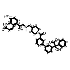 O=C(c1ccnc(-c2cccc(C(O)(C(=O)O)c3ccccc3)c2)c1)N1CCC(CNCC(O)c2ccc(O)c3[nH]c(=O)ccc23)CC1